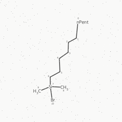 CCCCCCCCCCC[Si](C)(C)Br